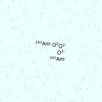 [241Am].[241Am].[O-2].[O-2].[O-2]